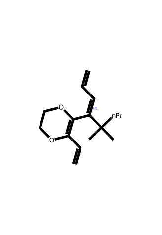 C=C/C=C(\C1=C(C=C)OCCO1)C(C)(C)CCC